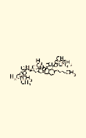 CCCCCC1CCC(CCCCCCCCC(=O)OOC(C)(C)CC)C(C(=O)OOC(C)(C)CC)C1C(=O)OOC(C)(C)CC